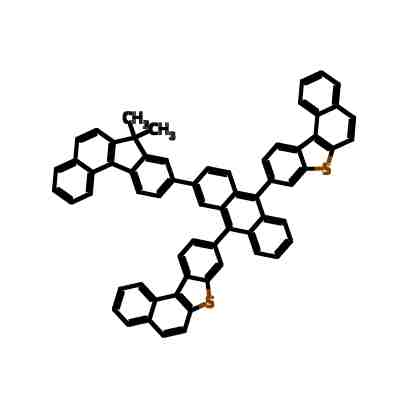 CC1(C)c2cc(-c3ccc4c(-c5ccc6c(c5)sc5ccc7ccccc7c56)c5ccccc5c(-c5ccc6c(c5)sc5ccc7ccccc7c56)c4c3)ccc2-c2c1ccc1ccccc21